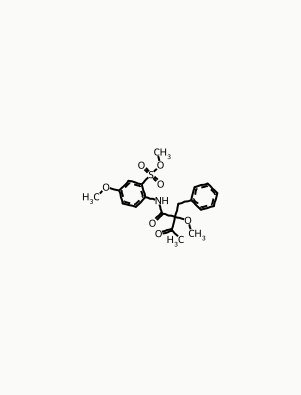 COc1ccc(NC(=O)C(Cc2ccccc2)(OC)C(C)=O)c(S(=O)(=O)OC)c1